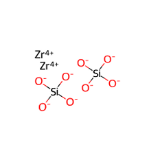 [O-][Si]([O-])([O-])[O-].[O-][Si]([O-])([O-])[O-].[Zr+4].[Zr+4]